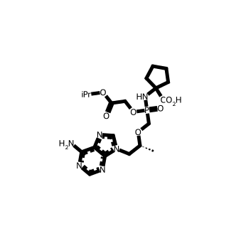 CC(C)OC(=O)COP(=O)(CO[C@H](C)Cn1cnc2c(N)ncnc21)NC1(C(=O)O)CCCC1